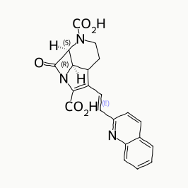 O=C(O)C1=C(/C=C/c2ccc3ccccc3n2)C2CCN(C(=O)O)[C@@H]3C(=O)N1[C@H]23